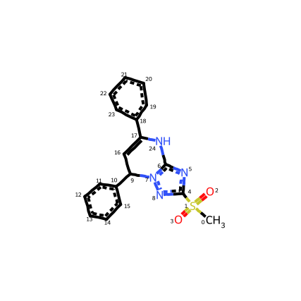 CS(=O)(=O)c1nc2n(n1)C(c1ccccc1)C=C(c1ccccc1)N2